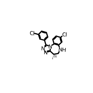 C[C@H]1CNc2cc(Cl)ccc2-n2c(-c3cccc(Cl)c3)nnc21